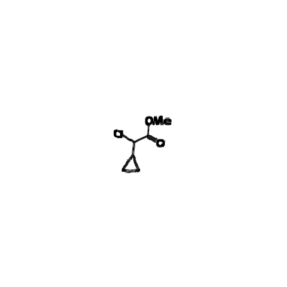 COC(=O)C(Cl)C1CC1